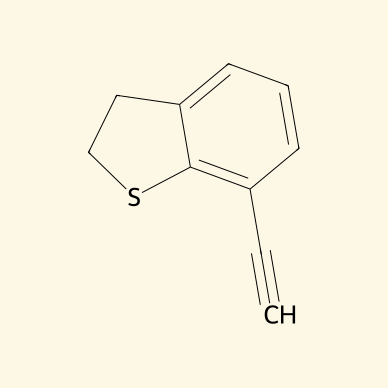 C#Cc1cccc2c1SCC2